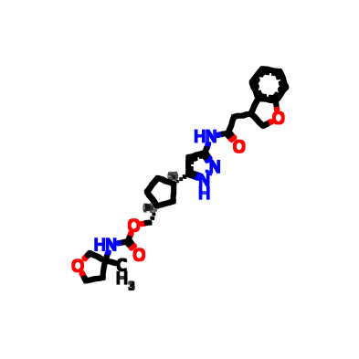 CC1(NC(=O)OC[C@@H]2CC[C@H](c3cc(NC(=O)CC4COc5ccccc54)n[nH]3)C2)CCOC1